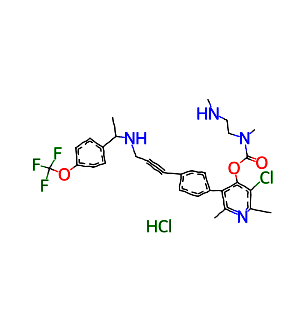 CNCCN(C)C(=O)Oc1c(Cl)c(C)nc(C)c1-c1ccc(C#CCNC(C)c2ccc(OC(F)(F)F)cc2)cc1.Cl